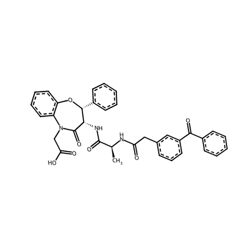 C[C@H](NC(=O)Cc1cccc(C(=O)c2ccccc2)c1)C(=O)N[C@@H]1C(=O)N(CC(=O)O)c2ccccc2O[C@@H]1c1ccccc1